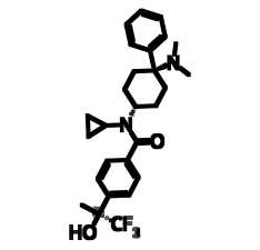 CN(C)[C@]1(c2ccccc2)CC[C@@H](N(C(=O)c2ccc([C@](C)(O)C(F)(F)F)cc2)C2CC2)CC1